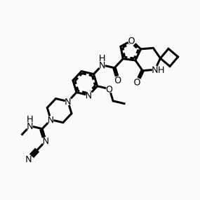 CCOc1nc(N2CCN(C(=NC#N)NC)CC2)ccc1NC(=O)c1coc2c1C(=O)NC1(CCC1)C2